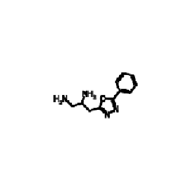 NCC(N)Cc1nnc(-c2ccccc2)o1